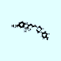 Nc1ccc2c(c1)NC(=O)C(CCCN1CCN(c3ccc(F)cc3)CC1)O2